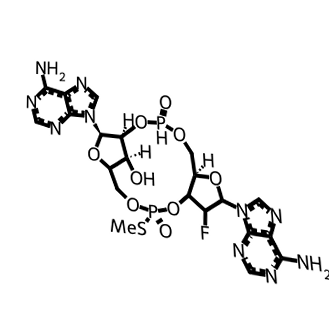 CSP1(=O)OCC2O[C@@H](n3cnc4c(N)ncnc43)[C@@H](O[PH](=O)OC[C@H]3OC(n4cnc5c(N)ncnc54)C(F)C3O1)[C@H]2O